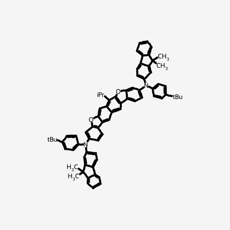 CC(C)c1c2cc3oc4cc(N(c5ccc(C(C)(C)C)cc5)c5ccc6c(c5)C(C)(C)c5ccccc5-6)ccc4c3cc2cc2c1oc1cc(N(c3ccc(C(C)(C)C)cc3)c3ccc4c(c3)C(C)(C)c3ccccc3-4)ccc12